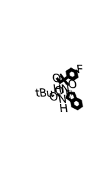 CC(C)(C)OC(=O)N[C@H]1c2ccccc2C[C@@H]1NC(=O)C1(c2ccc(F)cc2)COC1